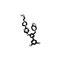 [CH2]C1CCN(Cc2cc(Oc3cnc(N4CCN(CCO)CC4)nc3)nc(-c3cc(Cl)cc(Cl)c3)c2)CC1